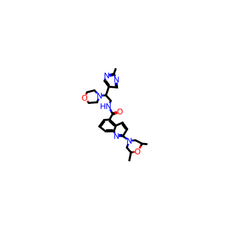 Cc1ncc(C(CNC(=O)c2cccc3nc(N4CC(C)OC(C)C4)ccc23)N2CCOCC2)cn1